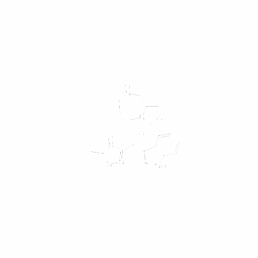 Cc1nnc(/C=C2\C(=O)Nc3cccc(S(=O)(=O)N4CCCNCC4C)c32)[nH]1